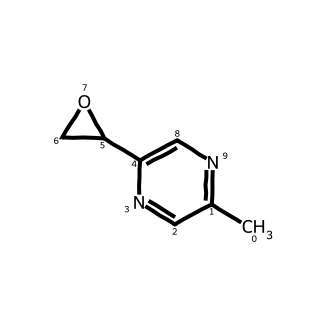 Cc1cnc(C2CO2)cn1